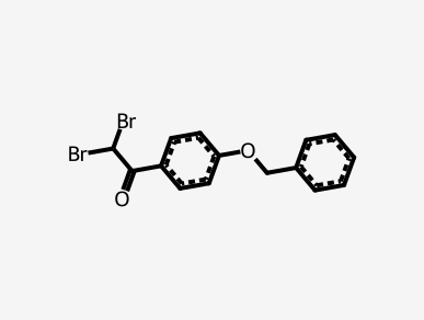 O=C(c1ccc(OCc2ccccc2)cc1)C(Br)Br